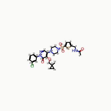 CC(=O)NCc1ccc(S(=O)(=O)N2CCN(c3cnn(-c4cccc(Cl)c4)c(=O)c3OCC3(C)CC3)CC2)s1